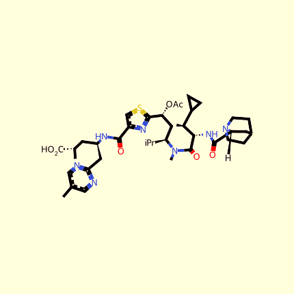 CC(=O)O[C@H](C[C@H](C(C)C)N(C)C(=O)[C@@H](NC(=O)[C@H]1CC2CCN1CC2)[C@@H](C)C1CC1)c1nc(C(=O)N[C@@H](Cc2ncc(C)cn2)C[C@H](C)C(=O)O)cs1